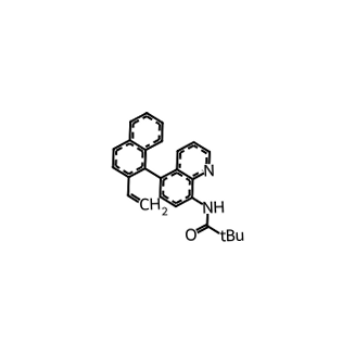 C=Cc1ccc2ccccc2c1-c1ccc(NC(=O)C(C)(C)C)c2ncccc12